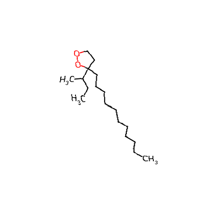 CCCCCCCCCCCC1(C(C)CC)CCOO1